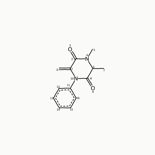 C=C1C(=O)N(C)C(C)C(=O)N1c1ccccc1